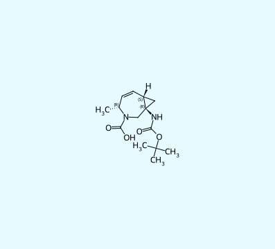 C[C@@H]1C=C[C@@H]2C[C@]2(NC(=O)OC(C)(C)C)CN1C(=O)O